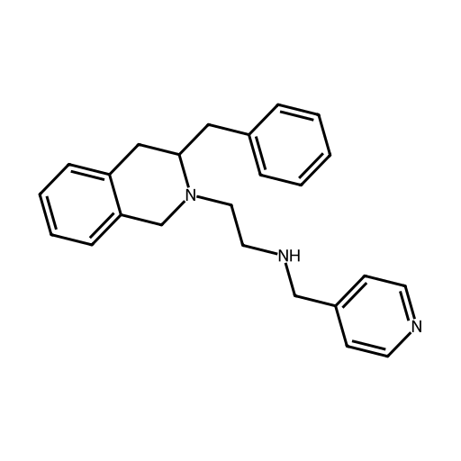 c1ccc(CC2Cc3ccccc3CN2CCNCc2ccncc2)cc1